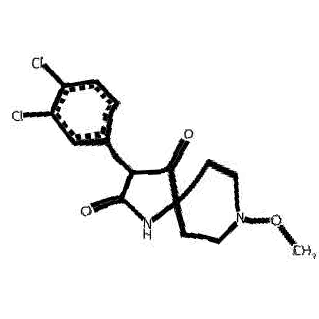 CON1CCC2(CC1)NC(=O)C(c1ccc(Cl)c(Cl)c1)C2=O